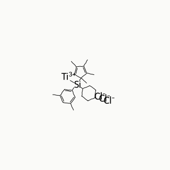 CC1=C(C)C(C)([Si](C)(c2cc(C)cc(C)c2)C2CCCCC2)[C]([Ti+3])=C1C.[Cl-].[Cl-].[Cl-]